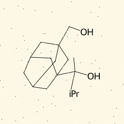 CC(C)C(C)(O)C12CC3CC(CC(CO)(C3)C1)C2